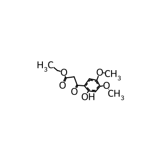 CCOC(=O)CC(=O)c1cc(OC)c(OC)cc1O